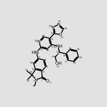 CN1C(=O)c2ccc(Nc3cc(N[C@H](CO)c4ccccc4)c(-c4nnco4)cn3)cc2C1(C)C